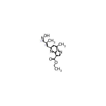 CCOC(=O)c1cnn2c(C)cc(/C=C(C)/C=N\O)nc12